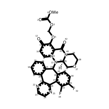 COC(=O)OCOc1c2n(ccc1=O)N(C1c3ccccc3-c3nccnc3-c3c1ccc(F)c3F)[C@@H]1COCCN1C2=O